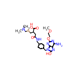 COCCOc1nc(N)c2nc(O)n(Cc3ccc(CNC(=O)CC(CSCN(C)C)C(=O)O)cc3)c2n1